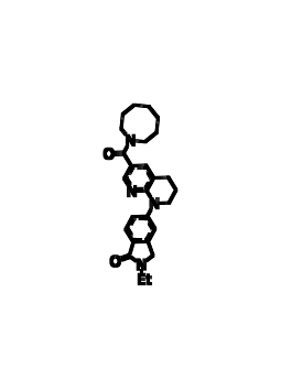 CCN1Cc2cc(N3CCCc4cc(C(=O)N5CCCCCCC5)cnc43)ccc2C1=O